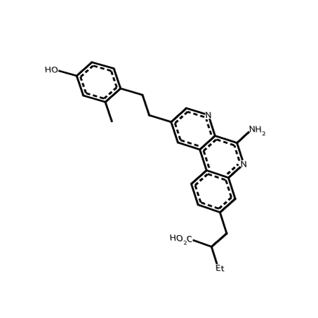 CCC(Cc1ccc2c(c1)nc(N)c1ncc(CCc3ccc(O)cc3C)cc12)C(=O)O